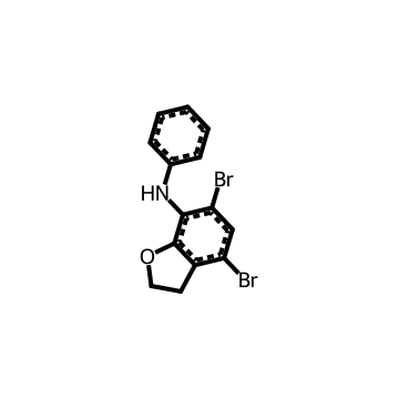 Brc1cc(Br)c(Nc2ccccc2)c2c1CCO2